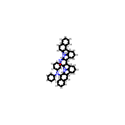 c1ccc(N(c2ccccc2)c2c3ccccc3cc3c4cccc5c6c7c8cccc9c%10c%11ccccc%11ccc%10n(c7ncc6n(c23)c45)c98)cc1